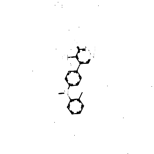 Cc1ccccc1N(C)c1ccc(-c2cn[nH]c(=O)c2Cl)cc1